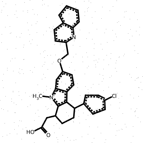 Cn1c2c(c3ccc(OCc4ccc5ccccc5n4)cc31)C(c1ccc(Cl)cc1)CCC2CC(=O)O